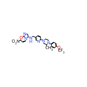 CC1CN(c2ccc(CN[C@@H]3CN=C4OC([N+](=O)[O-])C=CN43)cn2)CCN1c1ccc(OC(F)(F)F)cc1